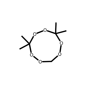 CC1(C)OOCOOC(C)(C)OO1